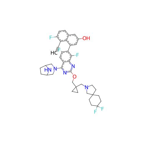 C#Cc1c(F)ccc2cc(O)cc(-c3c(F)cc4c(N5CC6CCC(C5)N6)nc(OCC5(CN6CCC7(CCC(F)(F)CC7)C6)CC5)nc4c3F)c12